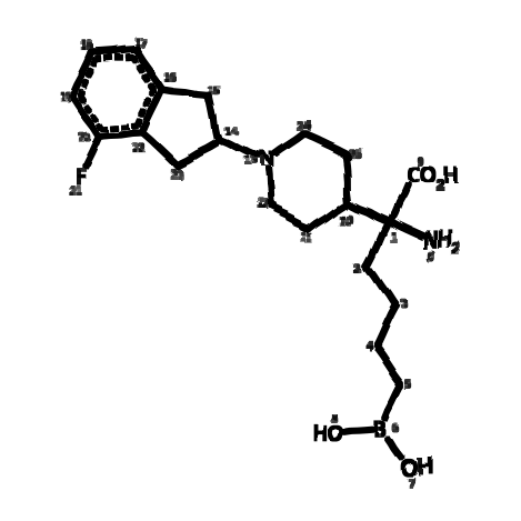 NC(CCCCB(O)O)(C(=O)O)C1CCN(C2Cc3cccc(F)c3C2)CC1